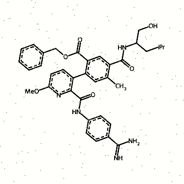 COc1ccc(-c2cc(C)c(C(=O)NC(CO)CC(C)C)cc2C(=O)OCc2ccccc2)c(C(=O)Nc2ccc(C(=N)N)cc2)n1